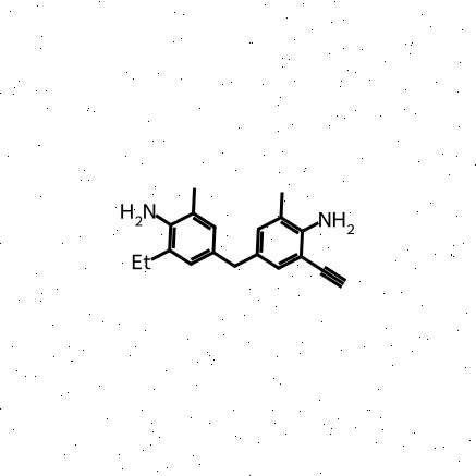 C#Cc1cc(Cc2cc(C)c(N)c(CC)c2)cc(C)c1N